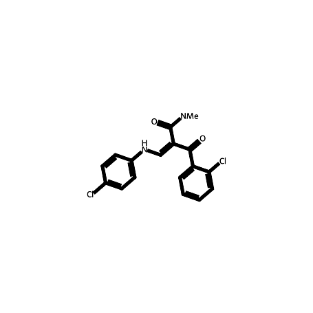 CNC(=O)/C(=C\Nc1ccc(Cl)cc1)C(=O)c1ccccc1Cl